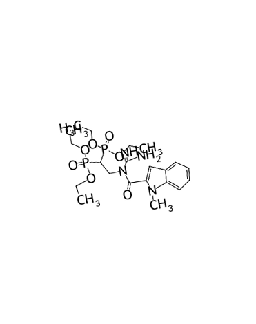 CCOP(=O)(OCC)C(CN(C(=N)N)C(=O)c1cc2ccccc2n1C)P(=O)(OCC)OCC